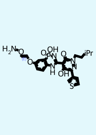 CC(C)CCn1nc(-c2ccsc2)c(O)c(C2=NP(=O)(O)c3cc(O/C=C/ON)ccc3N2)c1=O